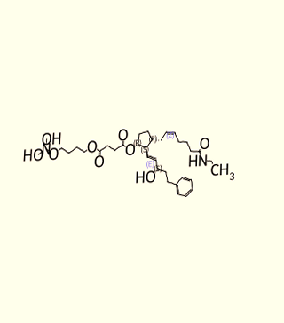 CCNC(=O)CCC/C=C\C[C@H]1CC[C@@H](OC(=O)CCC(=O)OCCCCON(O)O)[C@@H]1/C=C/[C@@H](O)CCc1ccccc1